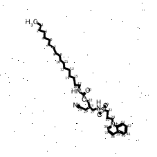 CCCCCCCCCCCCCCCCCCNC(=O)OCC(CC#N)CNS(=O)(=O)CCC[n+]1cccc2ccccc21